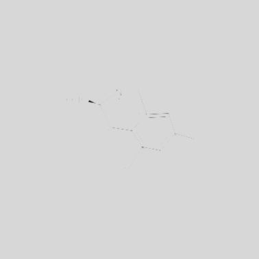 Cc1cc(C)c(C[C@H](N)[C]=O)c(C)c1